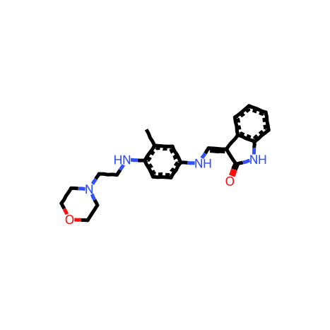 Cc1cc(NC=C2C(=O)Nc3ccccc32)ccc1NCCN1CCOCC1